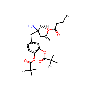 CCC(C)(C)C(=O)Oc1ccc(CC(N)(C[C@H](C)OC(=O)CCC(C)C)C(=O)O)cc1OC(=O)C(C)(C)CC